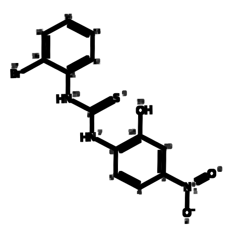 O=[N+]([O-])c1ccc(NC(=S)Nc2ccccc2Br)c(O)c1